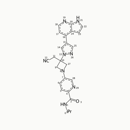 CC(C)NC(=O)c1ccc(N2CC(CC#N)(n3cc(-c4ccnc5[nH]ccc45)cn3)C2)cn1